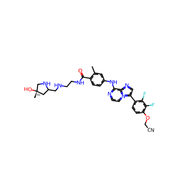 Cc1cc(Nc2nccn3c(-c4ccc(OCC#N)c(F)c4F)cnc23)ccc1C(=O)NCCNCC1C[C@](C)(O)CN1